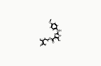 COc1ccc(Nc2nc(C)c(C(=O)OCCC(C)=C(F)F)s2)cc1